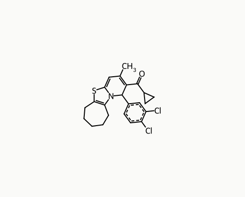 CC1=C(C(=O)C2CC2)C(c2ccc(Cl)c(Cl)c2)N2C(=C1)SC1=C2CCCCC1